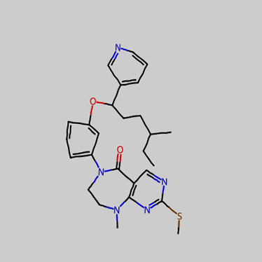 CCC(C)CCC(Oc1cccc(N2CCN(C)c3nc(SC)ncc3C2=O)c1)c1cccnc1